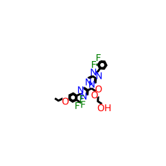 CCCOc1ccc(-c2ncc(C(C(=O)OCCCO)n3cc4nc(-c5cccc(F)c5F)nc-4cn3)cn2)c(C(F)(F)F)c1